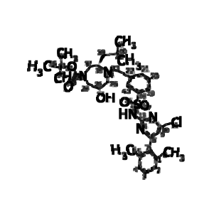 Cc1cccc(C)c1-c1cc(Cl)nc(NS(=O)(=O)c2cccc(CN3C[C@H](O)CN(C(=O)OC(C)(C)C)C[C@H]3CC(C)C)c2)n1